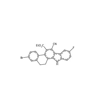 CCOC(=O)c1c2c(c3[nH]c4ccc(F)cc4c3c1C#N)CCc1cc(Br)ccc1-2